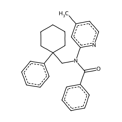 Cc1ccnc(N(CC2(c3ccccc3)CCCCC2)C(=O)c2ccccc2)c1